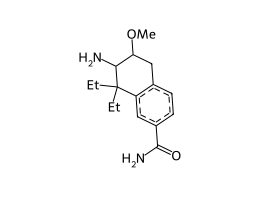 CCC1(CC)c2cc(C(N)=O)ccc2CC(OC)C1N